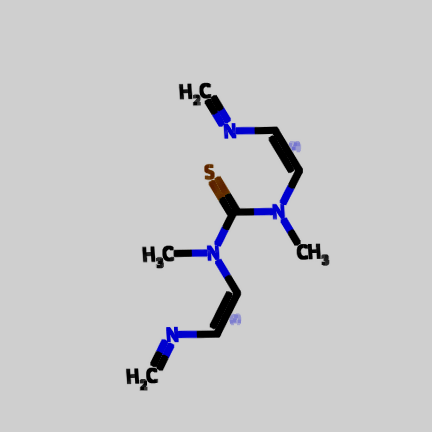 C=N/C=C\N(C)C(=S)N(C)/C=C\N=C